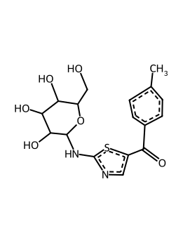 Cc1ccc(C(=O)c2cnc(NC3OC(CO)C(O)C(O)C3O)s2)cc1